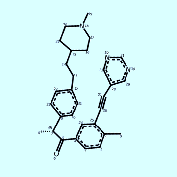 Cc1ccc(C(=O)[C@H](C)c2ccc(CCC3CCN(C)CC3)cc2)cc1C#Cc1cncnc1